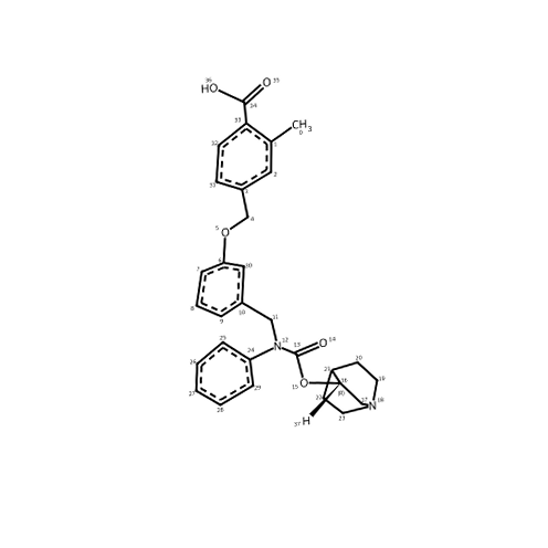 Cc1cc(COc2cccc(CN(C(=O)O[C@H]3CN4CCC3CC4)c3ccccc3)c2)ccc1C(=O)O